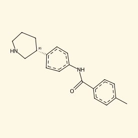 Cc1ccc(C(=O)Nc2ccc([C@H]3CCCNC3)cc2)cc1